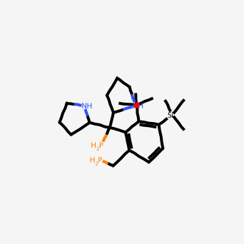 CC(C)(C)c1c([Si](C)(C)C)ccc(CP)c1C(P)(C1CCCN1)C1CCCN1